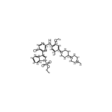 CCOS(=O)(=O)n1cc(-c2nc(Nc3cc(C)c(N4CCC(N5CCN(C)CC5)CC4)cc3OC)ncc2Cl)c2ccccc21